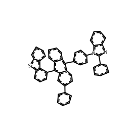 c1ccc(-c2ccc3c(-c4ccc(-n5c(-c6ccccc6)nc6ccccc65)cc4)c4ccccc4c(-c4cccc5sc6ccccc6c45)c3c2)cc1